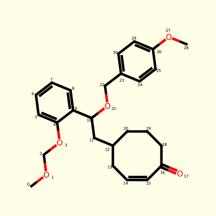 COCOc1ccccc1C(CC1CC=CC(=O)CCC1)OCc1ccc(OC)cc1